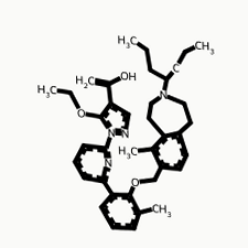 C=C(O)c1cnn(-c2cccc(-c3cccc(C)c3OCc3ccc4c(c3C)CCN(C(CCC)CCC)CC4)n2)c1OCC